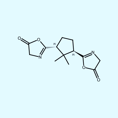 CC1(C)[C@H](C2=NCC(=O)O2)CC[C@H]1C1=NCC(=O)O1